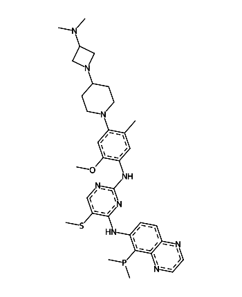 COc1cc(N2CCC(N3CC(N(C)C)C3)CC2)c(C)cc1Nc1ncc(SC)c(Nc2ccc3nccnc3c2P(C)C)n1